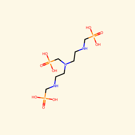 O=P(O)(O)CNCCN(CCNCP(=O)(O)O)CP(=O)(O)O